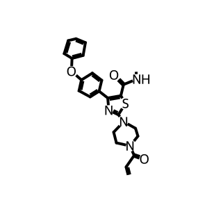 C=CC(=O)N1CCN(c2nc(-c3ccc(Oc4ccccc4)cc3)c(C(=O)NC)s2)CC1